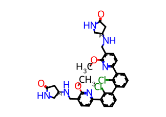 COc1nc(-c2cccc(-c3cccc(-c4ccc(CN[C@H]5CNC(=O)C5)c(OC)n4)c3Cl)c2Cl)ccc1CN[C@H]1CNC(=O)C1